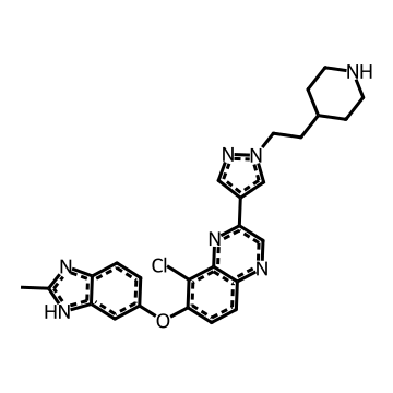 Cc1nc2ccc(Oc3ccc4ncc(-c5cnn(CCC6CCNCC6)c5)nc4c3Cl)cc2[nH]1